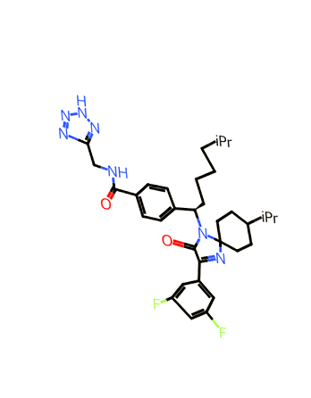 CC(C)CCCC[C@H](c1ccc(C(=O)NCc2nn[nH]n2)cc1)N1C(=O)C(c2cc(F)cc(F)c2)=NC12CCC(C(C)C)CC2